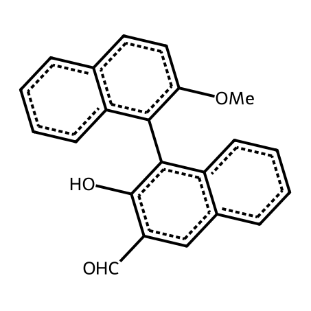 COc1ccc2ccccc2c1-c1c(O)c(C=O)cc2ccccc12